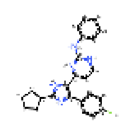 Fc1ccc(-c2nc(C3CCCC3)[nH]c2-c2ccnc(Nc3ccccc3)n2)cc1